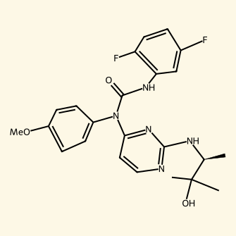 COc1ccc(N(C(=O)Nc2cc(F)ccc2F)c2ccnc(N[C@@H](C)C(C)(C)O)n2)cc1